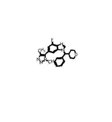 Cc1nnn(C)c1-c1cc(F)c2ncn(C(c3ccccc3)C3CCOCC3)c2c1